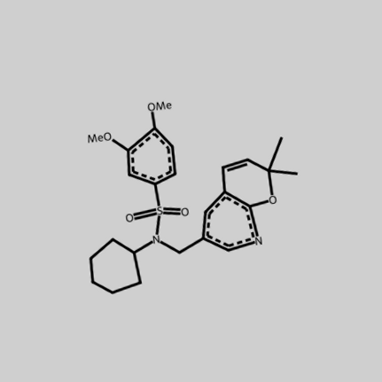 COc1ccc(S(=O)(=O)N(Cc2cnc3c(c2)C=CC(C)(C)O3)C2CCCCC2)cc1OC